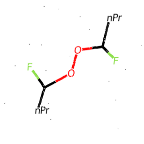 CCCC(F)OOC(F)CCC